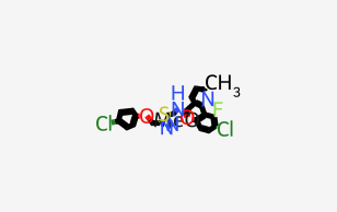 COc1ccc(Cl)c(F)c1-c1nc(C)ccc1C(=O)Nc1nnc(COc2ccc(Cl)cc2)s1